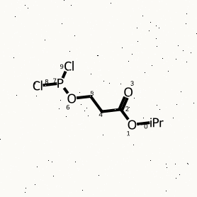 CC(C)OC(=O)CCOP(Cl)Cl